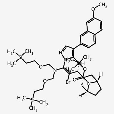 COc1ccc2ccc(-c3cnn4c3N[C@H]([C@H]3C[C@H]5CC[C@@H](C3)N5C(=O)OC(C)(C)C)C(Br)=C4N(COCC[Si](C)(C)C)COCC[Si](C)(C)C)cc2c1